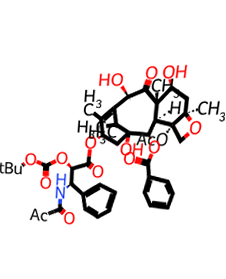 CC(=O)O[C@@]12CO[C@]1(C)C[C@H](O)[C@@]1(C)C(=O)[C@H](O)C3=C(C)[C@@H](OC(=O)[C@H](OC(=O)OC(C)(C)C)[C@@H](NC(=O)C(C)=O)c4ccccc4)CC(O)([C@@H](OC(=O)c4ccccc4)[C@@H]12)C3(C)C